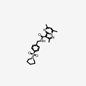 Cc1cc(C)n2nc(C)c(C(=O)NCc3ccc(S(=O)(=O)N4CCCCC4)cc3)c2n1